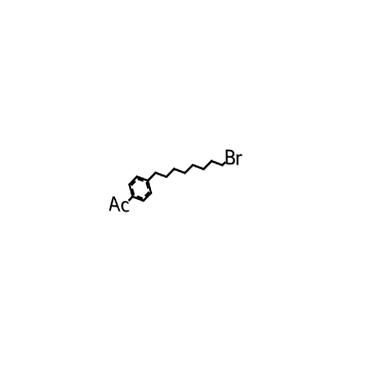 CC(=O)c1ccc(CCCCCCCCBr)cc1